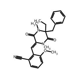 CCC1(Cc2ccccc2)C(=O)N(C)C(=Cc2c(C#N)cccc2OC)C(=O)N1C